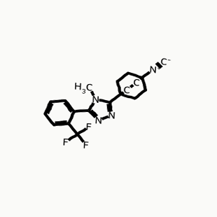 [C-]#[N+]C12CCC(c3nnc(-c4ccccc4C(F)(F)F)n3C)(CC1)CC2